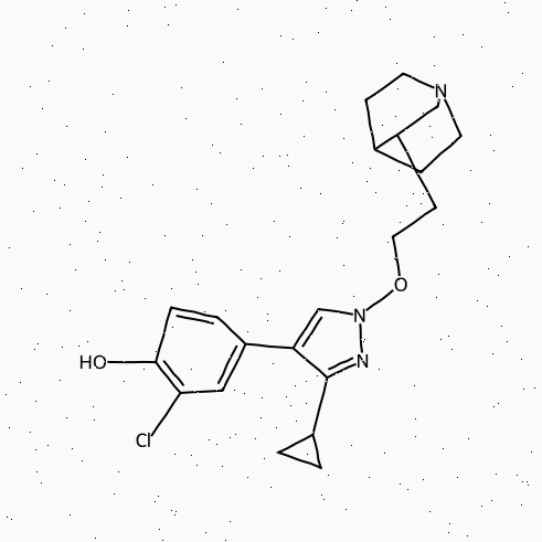 Oc1ccc(-c2cn(OCCC3CN4CCC3CC4)nc2C2CC2)cc1Cl